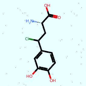 N[C@@H](CC(Cl)c1ccc(O)c(O)c1)C(=O)O